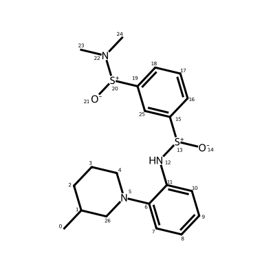 CC1CCCN(c2ccccc2N[S+]([O-])c2cccc([S+]([O-])N(C)C)c2)C1